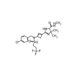 CNC(=O)[C@@H]1NC(C23CC(N(Cc4ccc(Cl)cc4)S(=O)(=O)CCC(F)(F)F)(C2)C3)=NC1(C)C